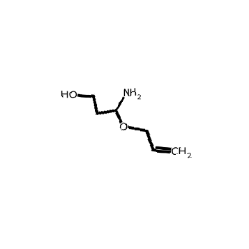 C=CCOC(N)CCO